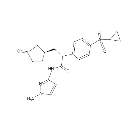 Cn1ccc(NC(=O)[C@H](C[C@H]2CCC(=O)C2)c2ccc(S(=O)(=O)C3CC3)cc2)n1